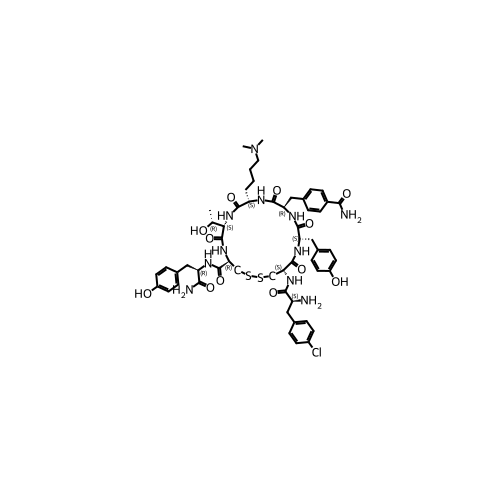 C[C@@H](O)[C@@H]1NC(=O)[C@H](CCCCN(C)C)NC(=O)[C@@H](Cc2ccc(C(N)=O)cc2)NC(=O)[C@H](Cc2ccc(O)cc2)NC(=O)[C@H](NC(=O)[C@@H](N)Cc2ccc(Cl)cc2)CSSC[C@@H](C(=O)N[C@H](Cc2ccc(O)cc2)C(N)=O)NC1=O